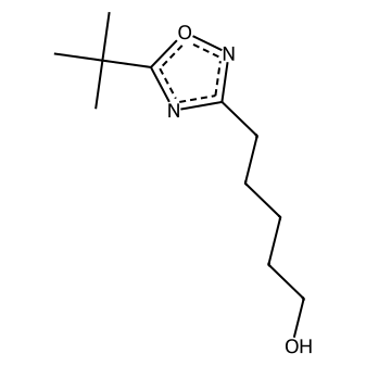 CC(C)(C)c1nc(CCCCCO)no1